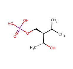 CC(C)[C@H](COP(=O)(O)O)[C@@H](C)O